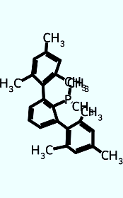 Cc1cc(C)c(-c2cccc(-c3c(C)cc(C)cc3C)c2P(C)C)c(C)c1